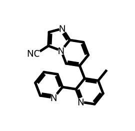 Cc1ccnc(-c2ccccn2)c1-c1ccc2ncc(C#N)n2c1